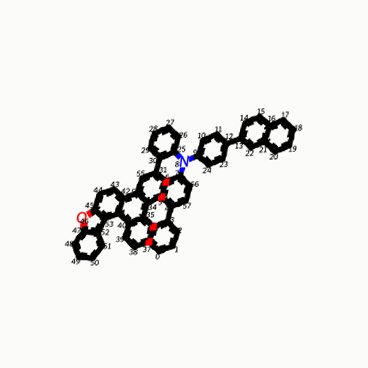 c1ccc(-c2ccc(N(c3ccc(-c4ccc5ccccc5c4)cc3)c3ccccc3-c3ccc4c5ccccc5c5c(ccc6oc7ccccc7c65)c4c3)cc2)cc1